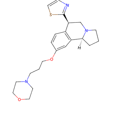 c1csc([C@H]2CN3CCC[C@H]3c3cc(OCCCN4CCOCC4)ccc32)n1